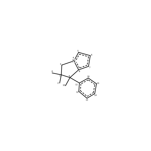 CC1(C)Cn2cccc2C1(C)c1ccccc1